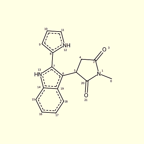 CN1C(=O)CC(c2c(-c3ccc[nH]3)[nH]c3ccccc23)C1=O